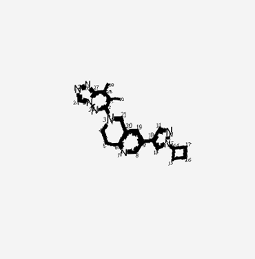 Cc1c(N2CCc3ncc(-c4cnn(C5CCC5)c4)cc3C2)nn2cnnc2c1C